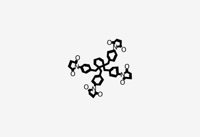 O=C1C=CC(=O)N1c1ccc(CC2(Cc3ccc(N4C(=O)C=CC4=O)cc3)C=CC=CC2(Cc2ccc(N3C(=O)C=CC3=O)cc2)Cc2ccc(N3C(=O)C=CC3=O)cc2)cc1